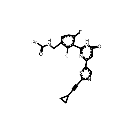 CC(C)C(=O)NCc1ccc(F)c(-c2nc(-c3cnc(C#CC4CC4)s3)cc(=O)[nH]2)c1Cl